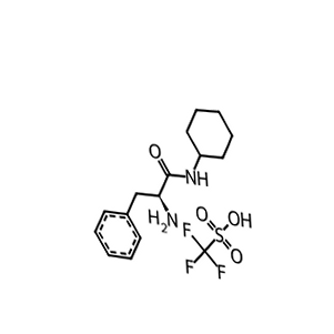 N[C@@H](Cc1ccccc1)C(=O)NC1CCCCC1.O=S(=O)(O)C(F)(F)F